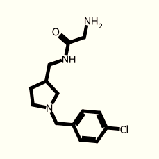 NCC(=O)NCC1CCN(Cc2ccc(Cl)cc2)C1